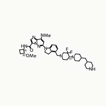 CNc1cc(N2CCc3c(CN4CC[C@H](N5CCC(CC6CCNCC6)CC5)C(F)(F)C4)cccc32)nn2c(C(=O)N[C@@H]3CC[C@H]3OC)cnc12